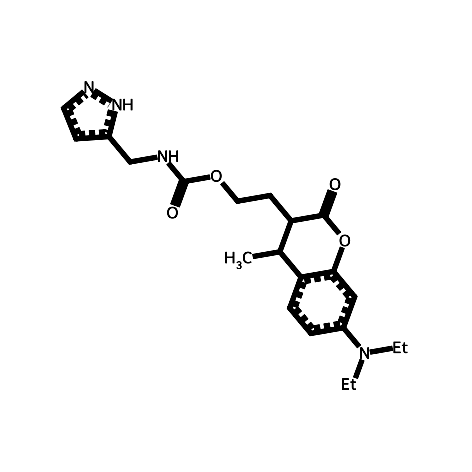 CCN(CC)c1ccc2c(c1)OC(=O)C(CCOC(=O)NCc1ccn[nH]1)C2C